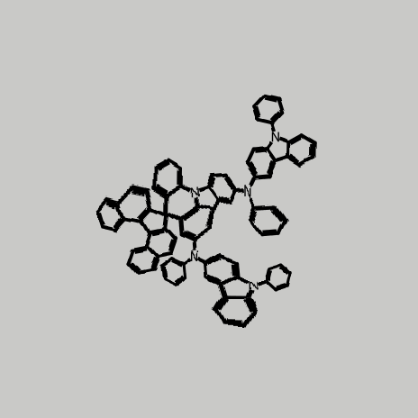 c1ccc(N(c2ccc3c(c2)c2ccccc2n3-c2ccccc2)c2ccc3c(c2)c2cc(N(c4ccccc4)c4ccc5c(c4)c4ccccc4n5-c4ccccc4)cc4c2n3-c2ccccc2C42c3ccc4ccccc4c3-c3c2ccc2ccccc32)cc1